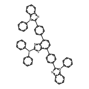 c1ccc(N(c2ccccc2)c2nc3c(-c4ccc(-c5nc6ccccc6n5-c5ccccc5)cc4)ccc(-c4ccc(-c5nc6ccccc6n5-c5ccccc5)cc4)c3s2)cc1